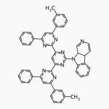 Cc1cccc(-c2cc(-c3ccccc3)nc(-c3cc(-c4nc(-c5ccccc5)cc(-c5cccc(C)c5)n4)nc(N4c5ccccc5C5C=CN=CC54)n3)n2)c1